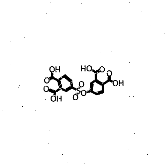 O=C(O)c1ccc(OS(=O)(=O)c2ccc(C(=O)O)c(C(=O)O)c2)cc1C(=O)O